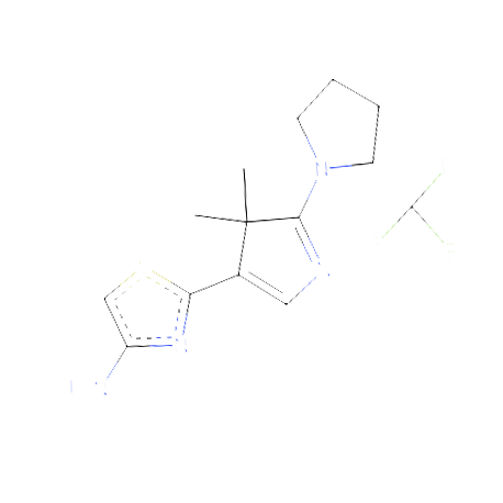 CC1(C)C(c2nc(N)cs2)=CN=C1N1CCC[C@@H]1C(F)(F)F